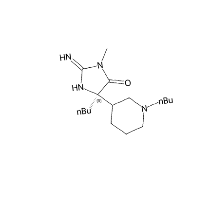 CCCCN1CCCC([C@@]2(CCCC)NC(=N)N(C)C2=O)C1